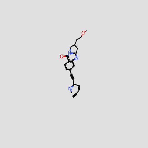 C#C/C=C\C(C#Cc1ccc2c(=O)n3c(nc2c1)CC(CCOC)C3)=N/C